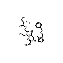 CC(C)C[C@H](NC(=O)[C@H](Cc1cncn1COCc1ccccc1)NC(=O)OC(C)(C)C)C(O)CNC(=O)[C@@H](N)CC(C)C